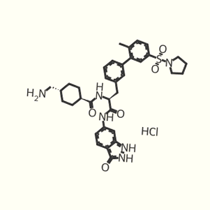 Cc1ccc(S(=O)(=O)N2CCCC2)cc1-c1cccc(C[C@H](NC(=O)[C@H]2CC[C@H](CN)CC2)C(=O)Nc2ccc3c(=O)[nH][nH]c3c2)c1.Cl